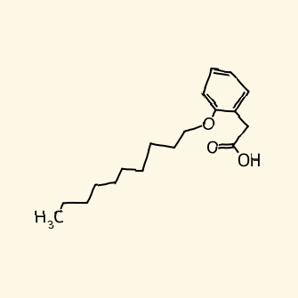 CCCCCCCCCCOc1ccccc1CC(=O)O